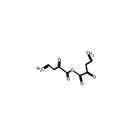 C=CCC(=O)C(=O)OC(=O)C(=O)CC=C